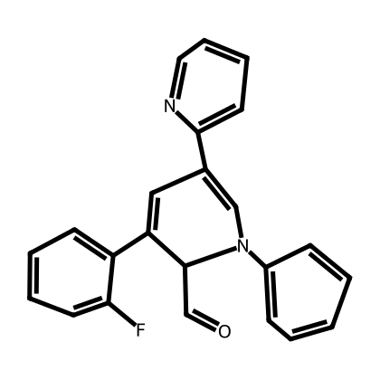 O=CC1C(c2ccccc2F)=CC(c2ccccn2)=CN1c1ccccc1